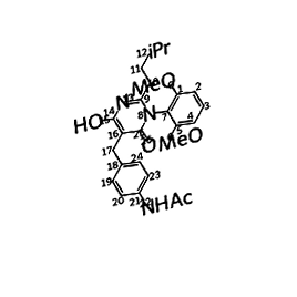 COc1cccc(OC)c1-n1c(CCC(C)C)nc(O)c(Cc2ccc(NC(C)=O)cc2)c1=O